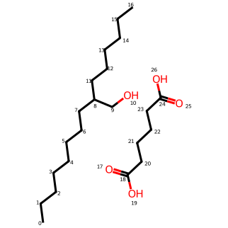 CCCCCCCCC(CO)CCCCCC.O=C(O)CCCCC(=O)O